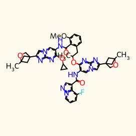 COc1cccc(CC(C)Oc2nc3nc(C45COC(C)(C4)C5)cn3cc2NC(=O)c2cnn3cccc(F)c23)c1C(=O)Nc1cn2cc(C34COC(C)(C3)C4)nc2nc1OC1CC1